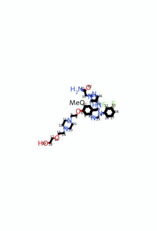 COc1cc2c(cc1OCCN1CCN(CCOCCO)CC1)=NCN(c1cccc(F)c1F)C=2Nc1cnn(CC(N)=O)c1